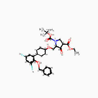 CCOC(=O)C1CN(C(=O)OC(C)(C)C)C(COC2CCC(c3cc(F)cc(F)c3OCc3ccccc3)CC2)C1=O